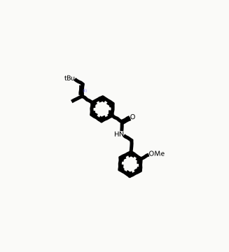 COc1ccccc1CNC(=O)c1ccc(/C(C)=C/C(C)(C)C)cc1